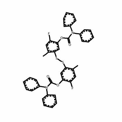 Cc1cc(F)c(OC(=O)N(c2ccccc2)c2ccccc2)cc1SSc1cc(OC(=O)N(c2ccccc2)c2ccccc2)c(F)cc1C